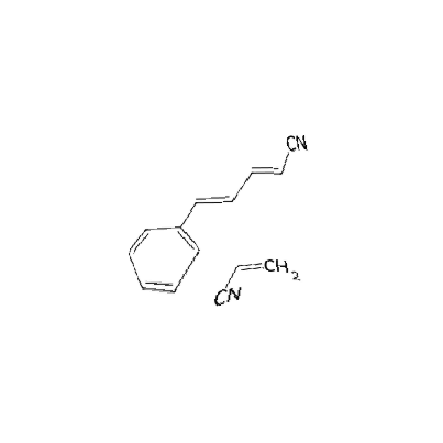 C=CC#N.N#CC=CC=Cc1ccccc1